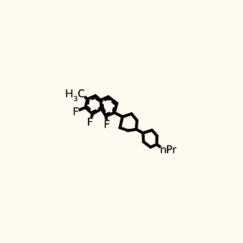 CCCC1CCC(C2CCC(c3ccc4cc(C)c(F)c(F)c4c3F)CC2)CC1